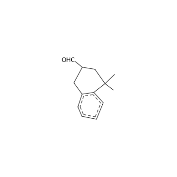 CC1(C)CC(C=O)Cc2ccccc21